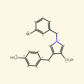 CCOC(=O)c1cn(Cc2cccc(C#N)c2)cc1Cc1ccc(C(=O)O)cc1